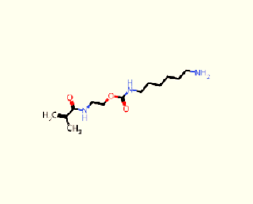 C=C(C)C(=O)NCCOC(=O)NCCCCCCN